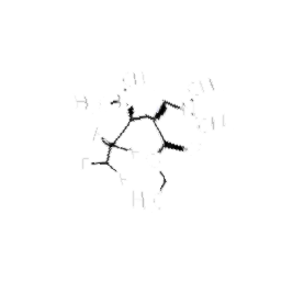 CCOC(=O)/C(=C\N(C)C)C(=[N+](C)C)C(F)(F)C(F)F